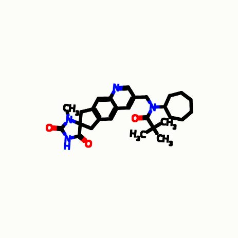 CN1C(=O)NC(=O)C12Cc1cc3cc(CN(C(=O)C(C)(C)C)C4CCCCCC4)cnc3cc1C2